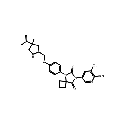 C=C(C)C1(F)CNC(COc2ccc(N3C(=S)N(c4cnc(C#N)c(C(F)(F)F)c4)C(=O)C34CCC4)cc2)C1